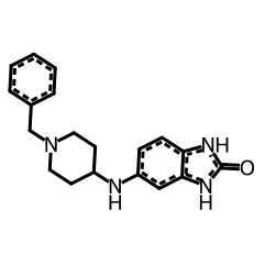 O=c1[nH]c2ccc(NC3CCN(Cc4ccccc4)CC3)cc2[nH]1